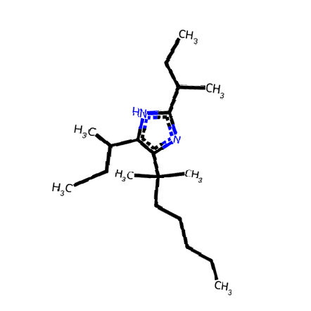 CCCCCC(C)(C)c1nc(C(C)CC)[nH]c1C(C)CC